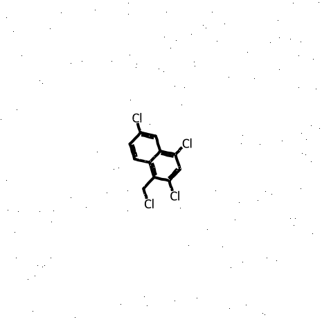 ClCc1c(Cl)cc(Cl)c2cc(Cl)ccc12